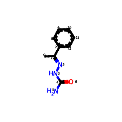 CC(=NNC(N)=O)c1ccccc1